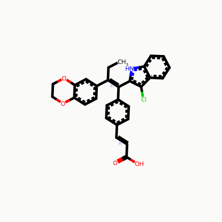 CC/C(=C(/c1ccc(/C=C/C(=O)O)cc1)c1[nH]c2ccccc2c1Cl)c1ccc2c(c1)OCCO2